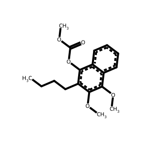 CCCCc1c(OC)c(OC)c2ccccc2c1OC(=O)OC